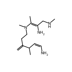 C=C(CCN(C)/C(C)=C(\N)CNC)C(C)/C=C\N